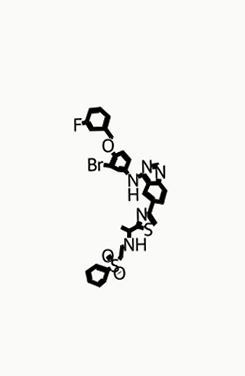 CC(NCCS(=O)(=O)c1ccccc1)c1nc(-c2ccc3ncnc(Nc4ccc(OCc5cccc(F)c5)c(Br)c4)c3c2)cs1